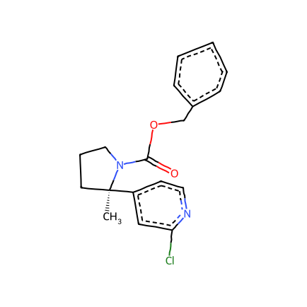 C[C@]1(c2ccnc(Cl)c2)CCCN1C(=O)OCc1ccccc1